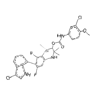 COc1ccc(NC(=O)OC2[C@@H](C)c3c(cc(F)c(-c4cccc5c(Cl)c[nH]c45)c3F)NC2(C)C)cc1Cl